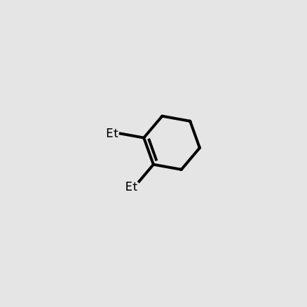 CCC1=C(CC)CCCC1